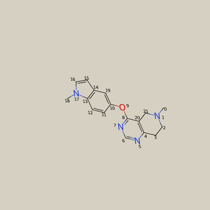 CN1CCc2ncnc(Oc3ccc4c(ccn4C)c3)c2C1